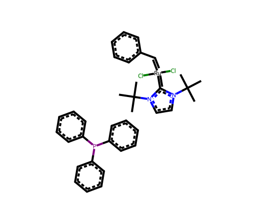 CC(C)(C)n1ccn(C(C)(C)C)[c]1=[Ru]([Cl])([Cl])=[CH]c1ccccc1.c1ccc(P(c2ccccc2)c2ccccc2)cc1